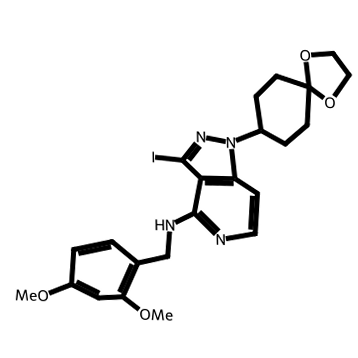 COc1ccc(CNc2nccc3c2c(I)nn3C2CCC3(CC2)OCCO3)c(OC)c1